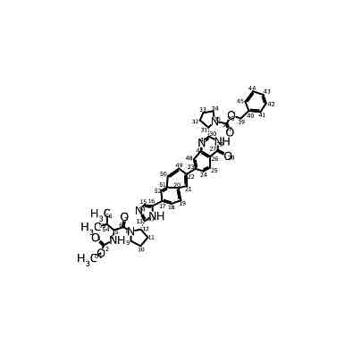 COC(=O)N[C@H](C(=O)N1CCC[C@H]1c1ncc(-c2ccc3cc(-c4ccc5c(=O)[nH]c([C@@H]6CCCN6C(=O)OCc6ccccc6)nc5c4)ccc3c2)[nH]1)C(C)C